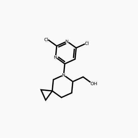 OCC1CCC2(CC2)CN1c1cc(Cl)nc(Cl)n1